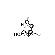 COCCOc1cc(-c2cccc(C(N)CC(C)(F)F)n2)cc2c1cnn2-c1cccc(CO)n1